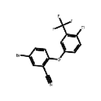 N#Cc1cc(Br)ccc1Oc1ccc(Cl)c(C(F)(F)F)c1